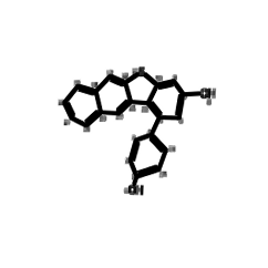 Oc1ccc(-c2cc(O)cc3sc4cc5ccccc5cc4c23)cc1